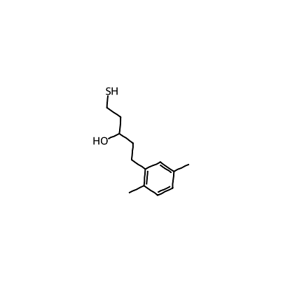 Cc1ccc(C)c(CCC(O)CCS)c1